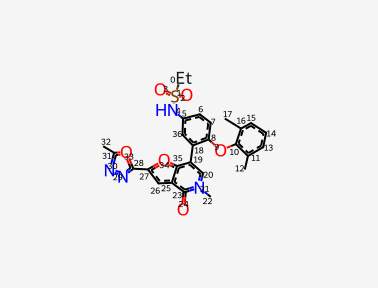 CCS(=O)(=O)Nc1ccc(Oc2c(C)cccc2C)c(-c2cn(C)c(=O)c3cc(-c4nnc(C)o4)oc23)c1